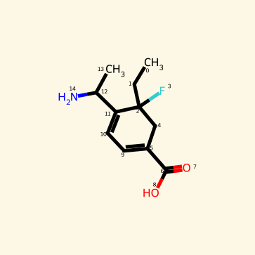 CCC1(F)CC(C(=O)O)=CC=C1C(C)N